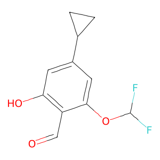 O=Cc1c(O)cc(C2CC2)cc1OC(F)F